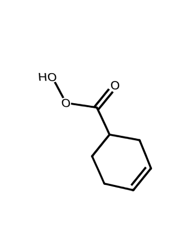 O=C(OO)C1CC=CCC1